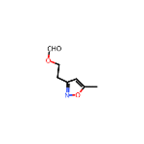 Cc1cc(CCOC=O)no1